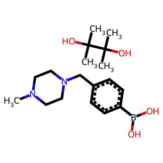 CC(C)(O)C(C)(C)O.CN1CCN(Cc2ccc(B(O)O)cc2)CC1